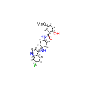 COc1ccc(O)c(C(=O)NC2CCC(Nc3ccnc4cc(Cl)ccc34)CC2)c1